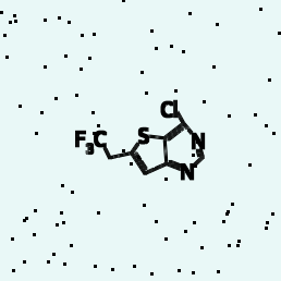 FC(F)(F)Cc1cc2ncnc(Cl)c2s1